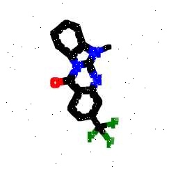 Cn1c2ccccc2n2c(=O)c3ccc(C(F)(F)F)cc3nc12